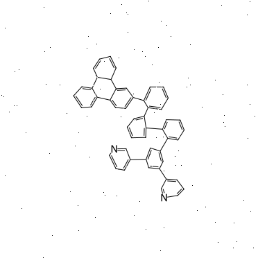 C1=CC2c3ccccc3-c3ccc(-c4ccccc4-c4ccccc4-c4ccccc4-c4cc(-c5cccnc5)cc(-c5cccnc5)c4)cc3C2C=C1